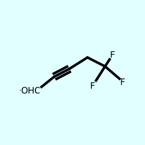 O=[C]C#CCC(F)(F)F